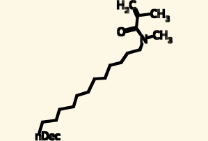 C=C(C)C(=O)N(C)CCCCCCCCCCCCCCCCCCCCCC